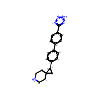 c1cc(-c2nn[nH]n2)ccc1-c1ccc([C@H]2CC23CCNCC3)cc1